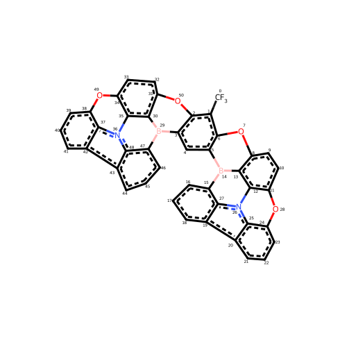 FC(F)(F)c1c2c(cc3c1Oc1ccc4c5c1B3c1cccc3c6cccc(c6n-5c13)O4)B1c3c(ccc4c3-n3c5c(cccc5c5cccc1c53)O4)O2